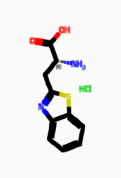 Cl.N[C@H](Cc1nc2ccccc2s1)C(=O)O